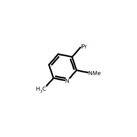 CNc1nc(C)ccc1C(C)C